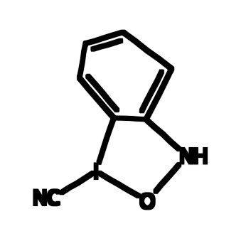 N#CI1ONc2ccccc21